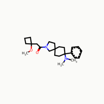 COC1(CC(=O)N2CCC3(CCC(c4ccccc4)(N(C)C)CC3)C2)CCC1